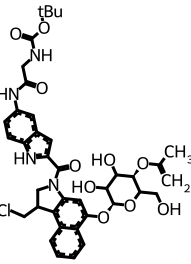 C=C(C)O[C@H]1C(CO)O[C@@H](Oc2cc3c(c4ccccc24)C(CCl)CN3C(=O)c2cc3cc(NC(=O)CNC(=O)OC(C)(C)C)ccc3[nH]2)C(O)C1O